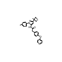 Cc1ccc(-n2nc(C3(C)CSC3)cc2NC(=O)Cc2ccc(Oc3ccncc3)cc2)cc1